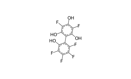 Oc1c(F)c(O)c(-c2c(O)c(F)c(F)c(F)c2F)c(O)c1F